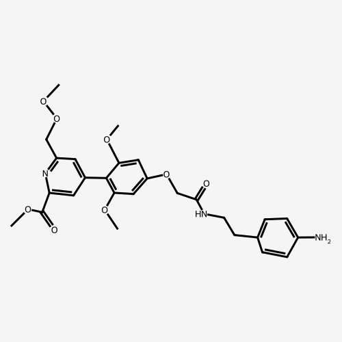 COOCc1cc(-c2c(OC)cc(OCC(=O)NCCc3ccc(N)cc3)cc2OC)cc(C(=O)OC)n1